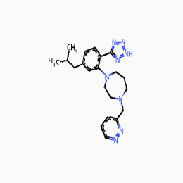 CC(C)Cc1ccc(-c2nn[nH]n2)c(N2CCCN(Cc3cccnn3)CC2)c1